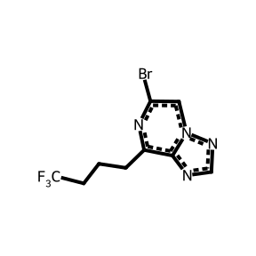 FC(F)(F)CCCc1nc(Br)cn2ncnc12